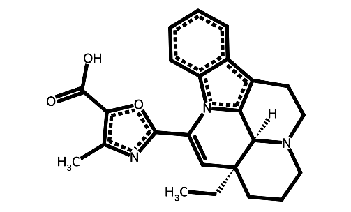 CC[C@@]12C=C(c3nc(C)c(C(=O)O)o3)n3c4c(c5ccccc53)CCN(CCC1)[C@H]42